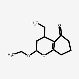 CCOC1CC(CC)C2=C(CCCC2=O)O1